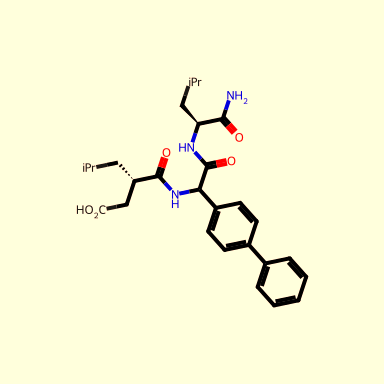 CC(C)C[C@@H](CC(=O)O)C(=O)NC(C(=O)N[C@@H](CC(C)C)C(N)=O)c1ccc(-c2ccccc2)cc1